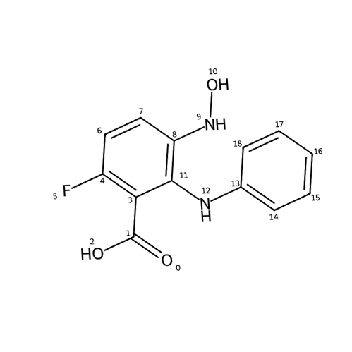 O=C(O)c1c(F)ccc(NO)c1Nc1ccccc1